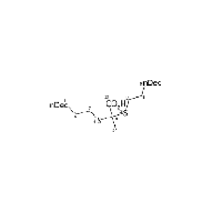 CCCCCCCCCCCCSC(C)(SCCCCCCCCCCCC)C(=O)O